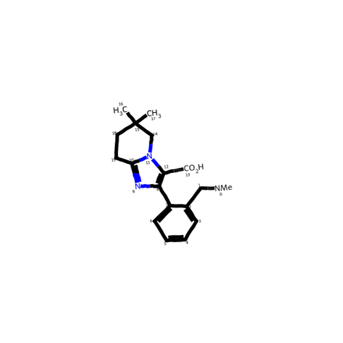 CNCc1ccccc1-c1nc2n(c1C(=O)O)CC(C)(C)CC2